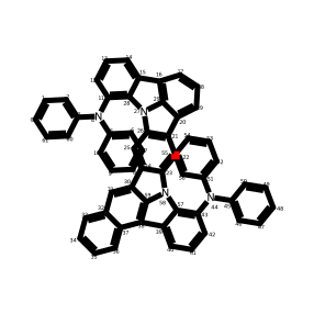 c1ccc(N(c2ccccc2)c2cccc3c4cccc5c6cc7c(cc6n(c23)c54)c2cc3ccccc3c3c4cccc(N(c5ccccc5)c5ccccc5)c4n7c23)cc1